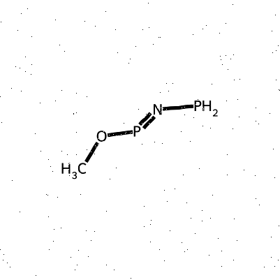 COP=NP